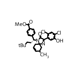 COC(=O)c1ccc([C@@H](CCC(C)(C)C)N2C(=O)C(c3cc(O)c(Cl)cc3Cl)=NC23CC=CC(C)C3)cc1